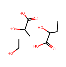 CC(O)C(=O)O.CCC(O)C(=O)O.CCO